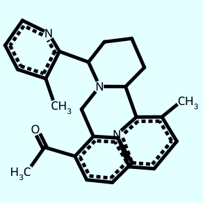 CC(=O)c1ccccc1CN1C(c2ncccc2C)CCCC1c1ncccc1C